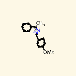 COc1ccc(/C=N/[C@@H](C)c2ccccc2)cc1